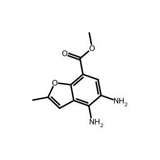 COC(=O)c1cc(N)c(N)c2cc(C)oc12